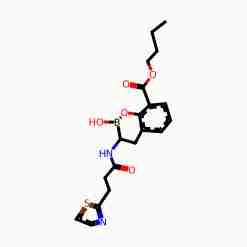 CCCCOC(=O)c1cccc2c1OB(O)C(NC(=O)CCc1nccs1)C2